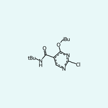 CCC(C)Oc1nc(Cl)ncc1C(=O)NC(C)(C)C